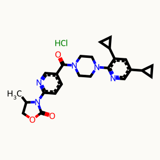 CC1COC(=O)N1c1ccc(C(=O)N2CCN(c3ncc(C4CC4)cc3C3CC3)CC2)cn1.Cl